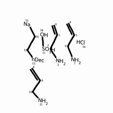 C=CCN.C=CCN.C=CCN.CCCCCCCCCCC[CH2][Na].Cl.O=S(=O)(O)O